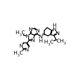 CCn1c(-c2cnc(C)nc2)nc2c(N[C@@H]3CCc4[nH]nc(C(C)C)c4C3)ncnc21